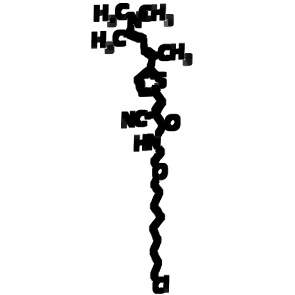 C/C(=C\C=C(/C)N(C)C)c1ccc(/C=C(\C#N)C(=O)NCCOCCCCCCCCCCl)s1